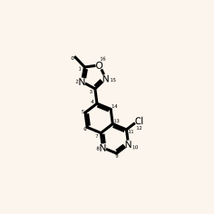 Cc1nc(-c2ccc3ncnc(Cl)c3c2)no1